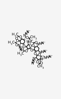 CC(=O)OC[C@H]1O[C@@H](O[C@H]2[C@H](O[C@H]3O[C@H](CN=[N+]=[N-])C(F)(F)[C@H](OC(C)=O)C3N=[N+]=[N-])C(N=[N+]=[N-])CC(N=[N+]=[N-])[C@@H]2OC(C)=O)[C@H](OC(C)=O)[C@@H]1O[C@H]1C[C@@H](CN=[N+]=[N-])[C@@H](OC(C)=O)[C@H](OC(C)=O)C1N=[N+]=[N-]